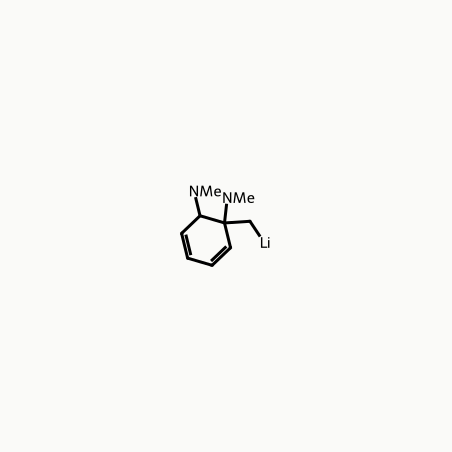 [Li][CH2]C1(NC)C=CC=CC1NC